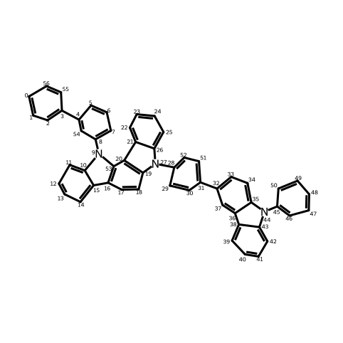 c1ccc(-c2cccc(-n3c4ccccc4c4ccc5c(c6ccccc6n5-c5ccc(-c6ccc7c(c6)c6ccccc6n7-c6ccccc6)cc5)c43)c2)cc1